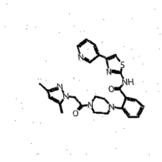 Cc1cc(C)n(CC(=O)N2CCN(c3ccccc3C(=O)Nc3nc(-c4cccnc4)cs3)CC2)n1